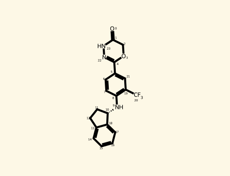 O=C1COC(c2ccc(N[C@H]3CCc4ccccc43)c(C(F)(F)F)c2)=NN1